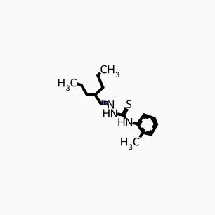 CCCC(/C=N/NC(=S)Nc1ccccc1C)CCC